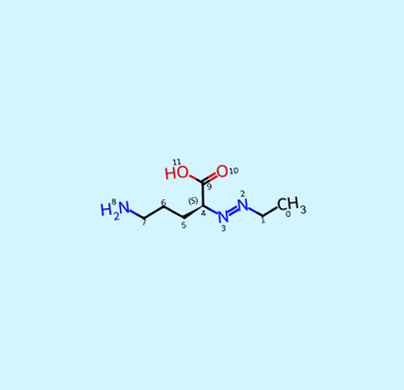 CCN=N[C@@H](CCCN)C(=O)O